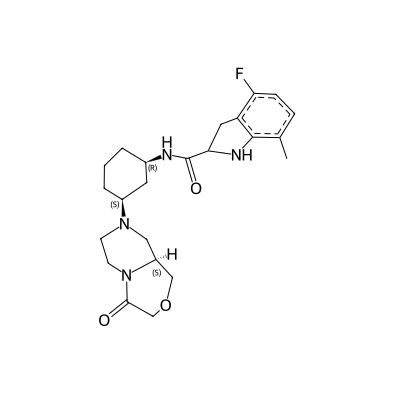 Cc1ccc(F)c2c1NC(C(=O)N[C@@H]1CCC[C@H](N3CCN4C(=O)COC[C@@H]4C3)C1)C2